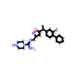 CC(c1ccc(-c2ccccc2)c(F)c1)c1cc(C/N=C(\N)N2CCNCC2)no1